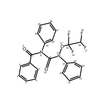 O=C(c1ccccc1)N(C(=O)N(OC(F)(F)C(F)F)c1ccccc1)c1ccccc1